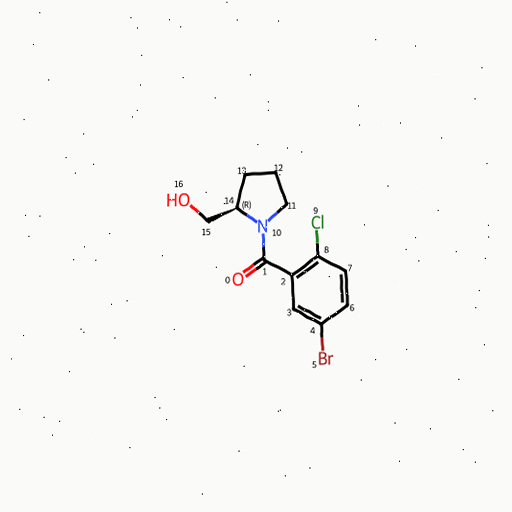 O=C(c1cc(Br)ccc1Cl)N1CCC[C@@H]1CO